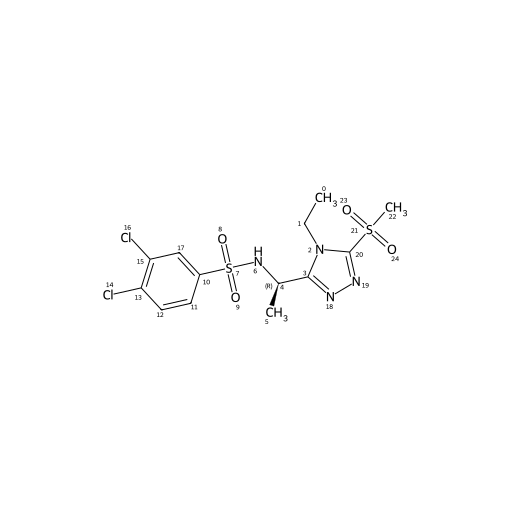 CCn1c([C@@H](C)NS(=O)(=O)c2ccc(Cl)c(Cl)c2)nnc1S(C)(=O)=O